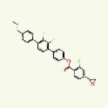 CCCc1ccc(-c2ccc(-c3ccc(OC(=O)c4ccc(C5CO5)cc4F)cc3)c(F)c2F)cc1